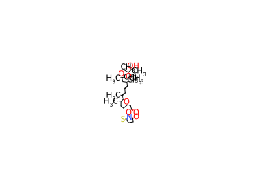 CO[C@@H]([C@@H](C)O)[C@@H](C)OC(C)(C)C[C@H](C)/C=C/C=C(\C)[C@H]1O[C@@H](CC(=O)ON2C(=O)CCC2=S)CC[C@@H]1C